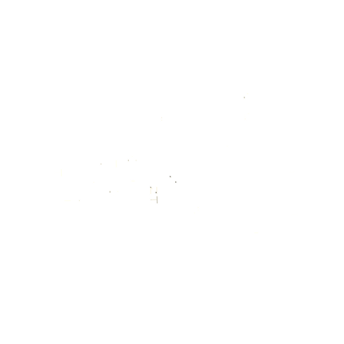 COCOC(CCCl)C(C(=O)NNC(=O)OC(C)(C)C)c1cc(F)c(F)c(F)c1